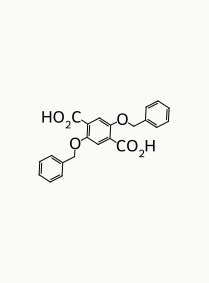 O=C(O)c1cc(OCc2ccccc2)c(C(=O)O)cc1OCc1ccccc1